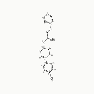 OC(COc1cc[c]cc1)CN1CC=C(c2ccc(Cl)cc2)CC1